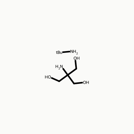 CC(C)(C)N.NC(CO)(CO)CO